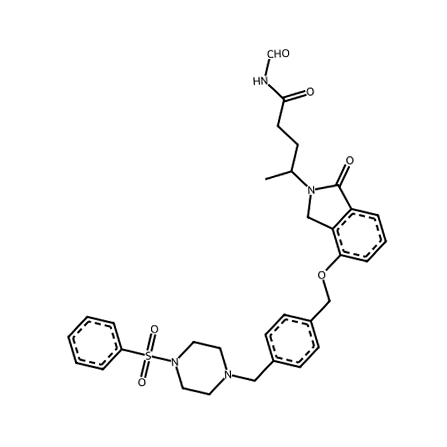 CC(CCC(=O)NC=O)N1Cc2c(OCc3ccc(CN4CCN(S(=O)(=O)c5ccccc5)CC4)cc3)cccc2C1=O